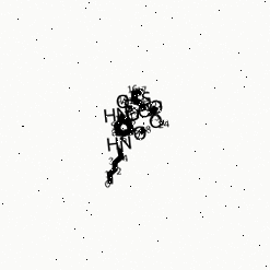 CCCCCCNc1ccc(NS(=O)(=O)c2ccsc2OC(=O)OC)cc1OC